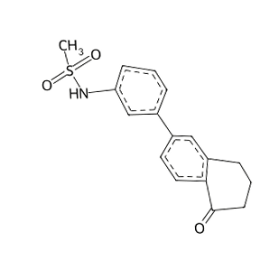 CS(=O)(=O)Nc1cccc(-c2ccc3c(c2)CCCC3=O)c1